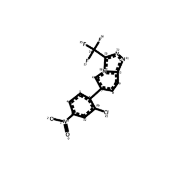 O=[N+]([O-])c1ccc(-c2ccc3nnc(C(F)(F)F)n3c2)c(Cl)c1